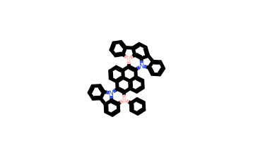 c1ccc(B2c3c(c4cccc5c6c(c7cccc3c7c54)-n3c4ccccc4c4ccc5c(c43)B6c3ccccc3-5)-n3c4ccccc4c4cccc2c43)cc1